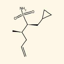 C=CC[C@@H](C)[C@H](CC1CC1)S(N)(=O)=O